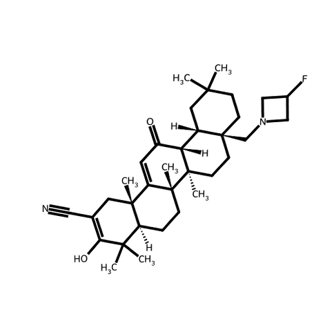 CC1(C)CC[C@]2(CN3CC(F)C3)CC[C@]3(C)[C@H](C(=O)C=C4[C@@]5(C)CC(C#N)=C(O)C(C)(C)[C@@H]5CC[C@]43C)[C@@H]2C1